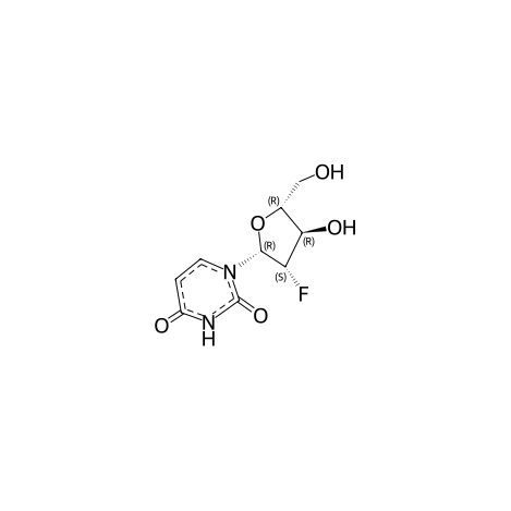 O=c1ccn([C@@H]2O[C@H](CO)[C@@H](O)[C@@H]2F)c(=O)[nH]1